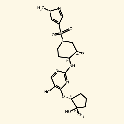 Cn1cc(S(=O)(=O)N2CC[C@H](Nc3ncc(C#N)c(O[C@@H]4CCC[C@]4(C)O)n3)[C@H](F)C2)cn1